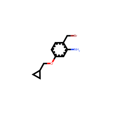 Nc1cc(OCC2CC2)ccc1CBr